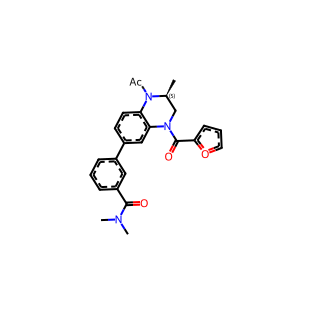 CC(=O)N1c2ccc(-c3cccc(C(=O)N(C)C)c3)cc2N(C(=O)c2ccco2)C[C@@H]1C